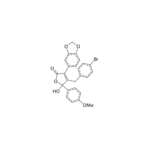 COc1ccc(C2(O)OC(=O)C(c3ccc4c(c3)OCO4)=C2Cc2ccc(Br)cc2)cc1